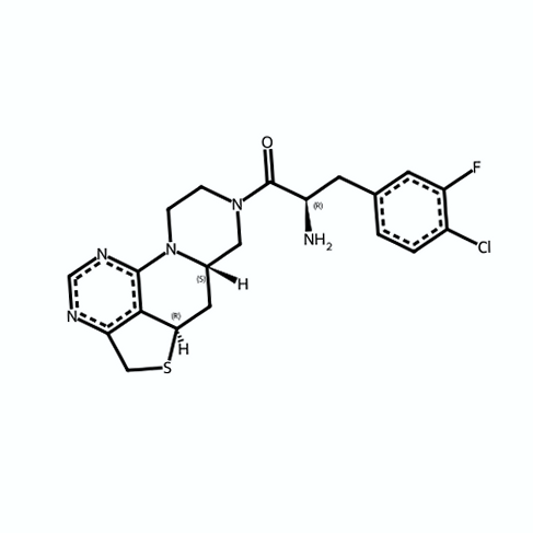 N[C@H](Cc1ccc(Cl)c(F)c1)C(=O)N1CCN2c3ncnc4c3[C@@H](C[C@H]2C1)SC4